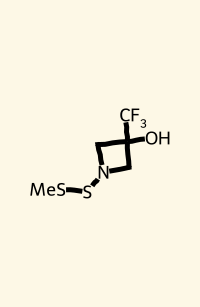 CSSN1CC(O)(C(F)(F)F)C1